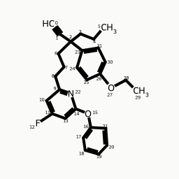 C#CC(CCC)(CCCc1cc(F)cc(Oc2ccccc2)n1)c1ccc(OCC)cc1